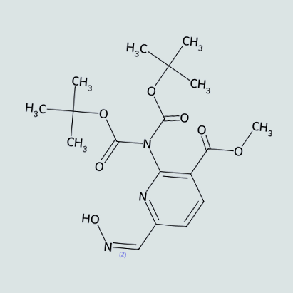 COC(=O)c1ccc(/C=N\O)nc1N(C(=O)OC(C)(C)C)C(=O)OC(C)(C)C